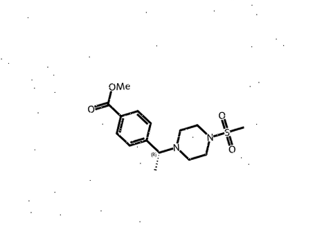 COC(=O)c1ccc([C@@H](C)N2CCN(S(C)(=O)=O)CC2)cc1